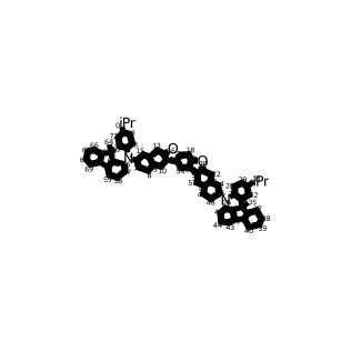 CC(C)c1ccc(N(c2ccc3cc4c(cc3c2)oc2cc3oc5cc6cc(N7c8ccc(C(C)C)cc8C8(C)c9ccccc9-c9cccc7c98)ccc6cc5c3cc24)c2cccc3c2C(C)(C)c2ccccc2-3)cc1